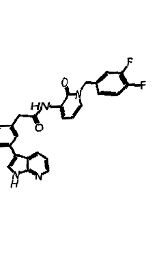 O=C(Cc1cccc(-c2c[nH]c3ncccc23)c1)Nc1cccn(Cc2ccc(F)c(F)c2)c1=O